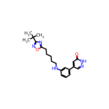 CC(C)(C)c1noc(CCCCCNc2cccc(-c3cn[nH]c(=O)c3)c2)n1